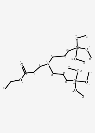 CCOC(=O)CCN(CCC[Si](OC)(OC)OC)CCC[Si](OC)(OC)OC